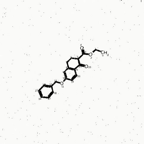 CCOC(=O)C1CCc2cc(OCc3ccccc3)ccc2C1=O